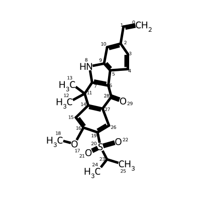 C=Cc1ccc2c3c([nH]c2c1)C(C)(C)c1cc(OC)c(S(=O)(=O)C(C)C)cc1C3=O